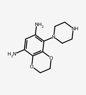 Nc1cc(N)c(N2CCNCC2)c2c1OCCO2